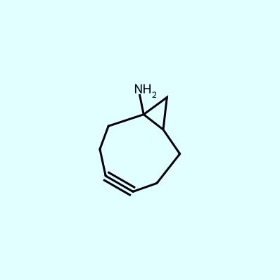 NC12CCC#CCCC1C2